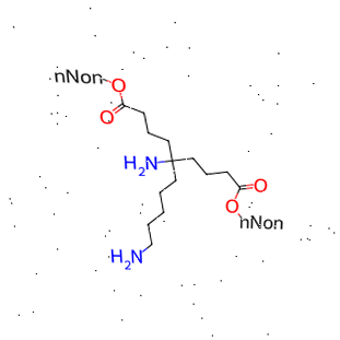 CCCCCCCCCOC(=O)CCCC(N)(CCCCCN)CCCC(=O)OCCCCCCCCC